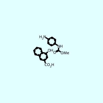 COC(=O)Nc1ccc(N)cc1.O=C(O)c1cc(O)c2ccccc2c1